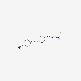 CC/C=C\CCC[C@H]1CC[C@H](CCC2CCC(C#N)CC2)CC1